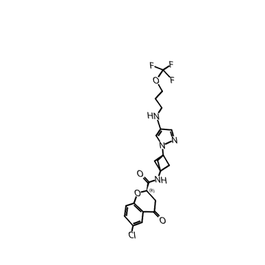 O=C1C[C@H](C(=O)NC23CC(n4cc(NCCCOC(F)(F)F)cn4)(C2)C3)Oc2ccc(Cl)cc21